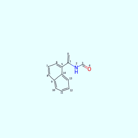 C=C(N[C]=O)c1cccc2ccccc12